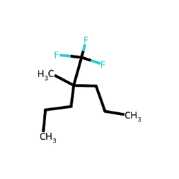 CCCC(C)(CCC)C(F)(F)F